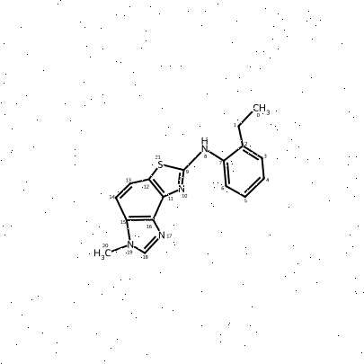 CCc1ccccc1Nc1nc2c(ccc3c2ncn3C)s1